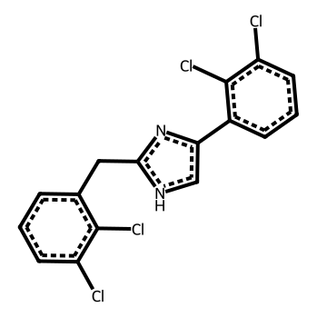 Clc1cccc(Cc2nc(-c3cccc(Cl)c3Cl)c[nH]2)c1Cl